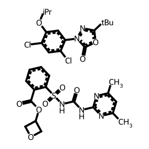 CC(C)Oc1cc(-n2nc(C(C)(C)C)oc2=O)c(Cl)cc1Cl.Cc1cc(C)nc(NC(=O)NS(=O)(=O)c2ccccc2C(=O)OC2COC2)n1